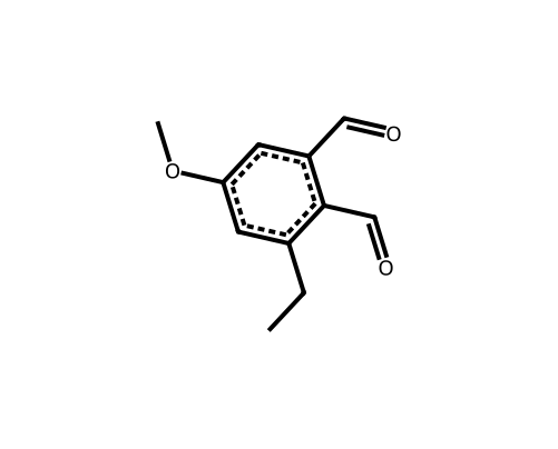 CCc1cc(OC)cc(C=O)c1C=O